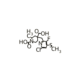 CSc1cc(Cl)nc(CC2(C(=O)O)CCN(C(=O)O)C(C)C2)c1F